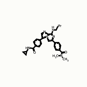 CC(C)CNc1nc(-c2ccc(C(=O)N(C)C)cc2)cn2c(-c3ccc(C(=O)NC4CC4)cc3)cnc12